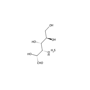 O=C[C@H](O)[C@@H](O)[C@H](O)[C@H](O)CO.S